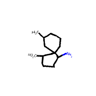 CC1CCCC2(C1)C(N)CCC2C(=O)O